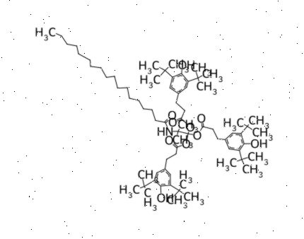 CCCCCCCCCCCCCCCCCC(=O)NC(C)(C)C(OC(=O)CCc1cc(C(C)(C)C)c(O)c(C(C)(C)C)c1)(OC(=O)CCc1cc(C(C)(C)C)c(O)c(C(C)(C)C)c1)OC(=O)CCc1cc(C(C)(C)C)c(O)c(C(C)(C)C)c1